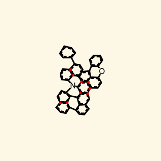 c1ccc(-c2ccc(-c3ccccc3N(c3ccccc3-c3cc4c5c(cccc5c3)Oc3ccccc3-4)c3ccccc3-c3cccc4cccc(-c5ccccc5)c34)cc2)cc1